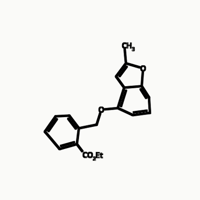 CCOC(=O)c1ccccc1COc1cccc2oc(C)cc12